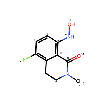 CN1CCc2c(F)ccc(NO)c2C1=O